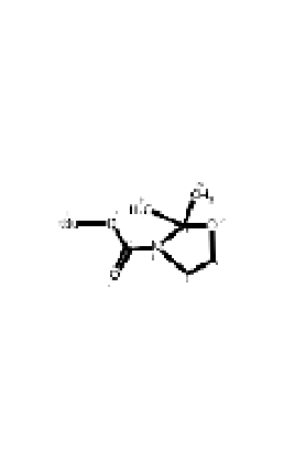 CC(C)(C)OC(=O)N1[CH]COC1(C)C